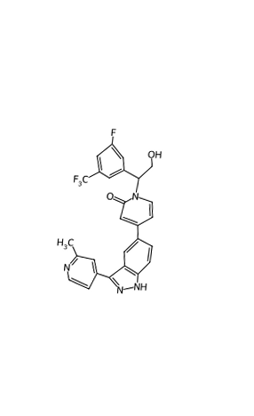 Cc1cc(-c2n[nH]c3ccc(-c4ccn(C(CO)c5cc(F)cc(C(F)(F)F)c5)c(=O)c4)cc23)ccn1